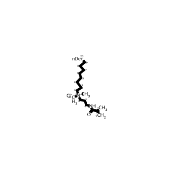 C=C(C)C(=O)NCCC[N+](C)(C)CCCCCCCCCCCCCCCCCC.[Cl-]